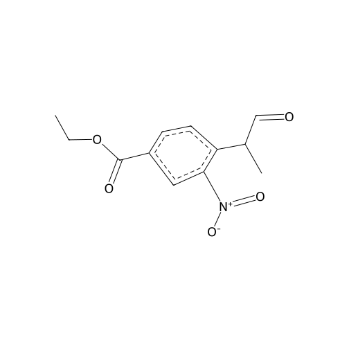 CCOC(=O)c1ccc(C(C)C=O)c([N+](=O)[O-])c1